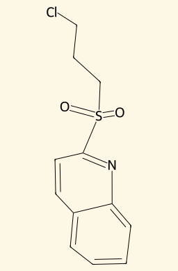 O=S(=O)(CCCCl)c1ccc2ccccc2n1